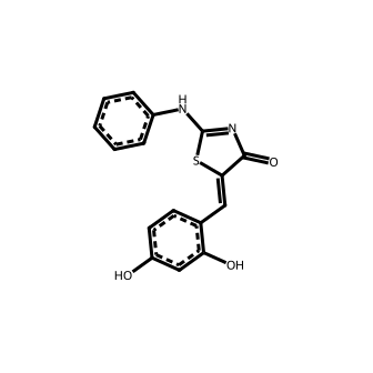 O=C1N=C(Nc2ccccc2)S/C1=C\c1ccc(O)cc1O